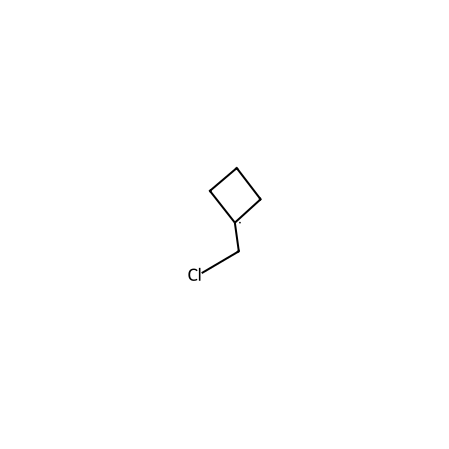 ClC[C]1CCC1